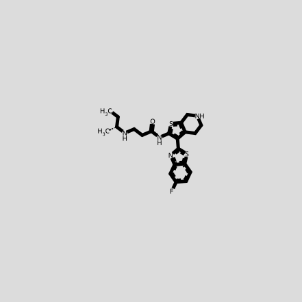 CC[C@@H](C)NCCC(=O)Nc1sc2c(c1-c1nc3cc(F)ccc3s1)CCNC2